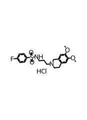 COc1cc2c(cc1OC)CN(CCCNS(=O)(=O)c1ccc(F)cc1)CC2.Cl